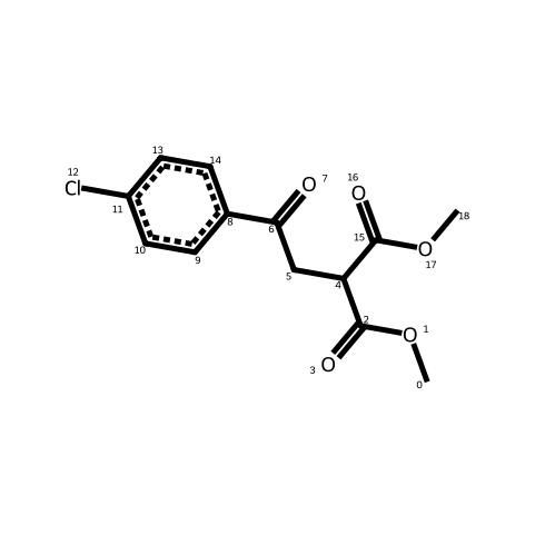 COC(=O)C(CC(=O)c1ccc(Cl)cc1)C(=O)OC